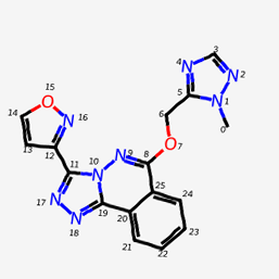 Cn1ncnc1COc1nn2c(-c3ccon3)nnc2c2ccccc12